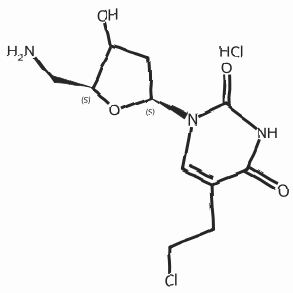 Cl.NC[C@@H]1O[C@H](n2cc(CCCl)c(=O)[nH]c2=O)CC1O